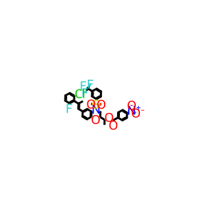 CC(=Cc1ccc2c(c1)N(S(=O)(=O)c1cccc(C(F)(F)F)c1)CC(C(C)OC(=O)c1ccc([N+](=O)[O-])cc1)O2)c1c(F)cccc1Cl